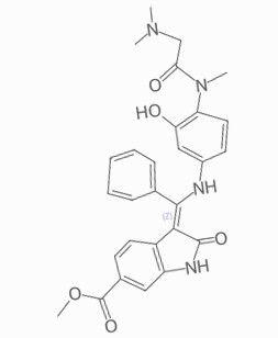 COC(=O)c1ccc2c(c1)NC(=O)/C2=C(\Nc1ccc(N(C)C(=O)CN(C)C)c(O)c1)c1ccccc1